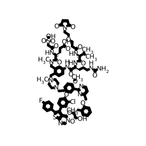 COc1ccccc1-c1nccc(COc2ccccc2C[C@@H](Oc2ncnc3sc(-c4ccc(F)cc4)c(-c4ccc(OCCN5CC[N+](C)(Cc6ccc(NC(=O)[C@H](CCCNC(N)=O)NC(=O)[C@@H](NC(=O)CCOCCN7C(=O)C=CC7=O)C(C)C)cc6CN(C)C(=O)[C@H](CCC(=O)O)NC(=O)CS(=O)(=O)O)CC5)c(Cl)c4C)c23)C(=O)O)n1